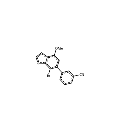 COc1nc(-c2cccc(C#N)c2)c(Br)c2sccc12